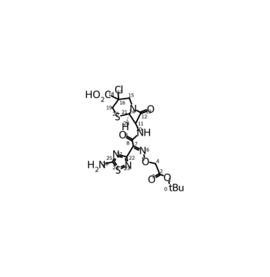 CC(C)(C)OC(=O)CON=C(C(=O)NC1C(=O)N2CC(Cl)(C(=O)O)CS[C@H]12)c1nsc(N)n1